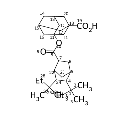 CCC(C)(C)C1C2CC(C(=O)OC34CC5CC(C3)CC(C(=O)O)(C5)C4)C(C2)C1C(C)(C)CC